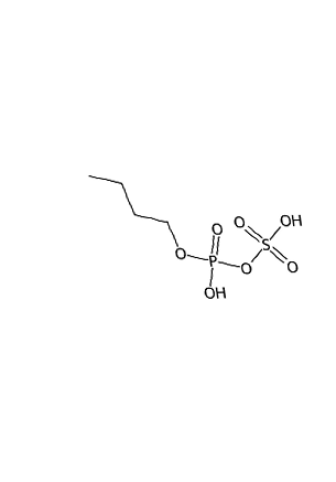 CCCCOP(=O)(O)OS(=O)(=O)O